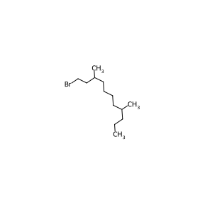 CCCC(C)CCCCC(C)CCBr